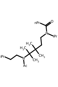 CCCC(=O)N(CCC(C)(C)C(C)(C)N(CCC(C)C)C(C)=O)C(C)C